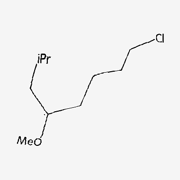 CO[C](CCCCCl)CC(C)C